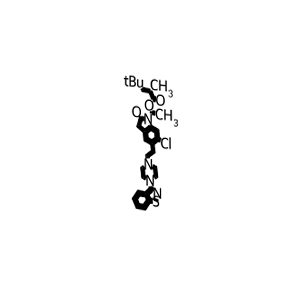 CC(CC(C)(C)C)C(=O)OC(C)N1C(=O)Cc2cc(CCN3CCN(c4nsc5ccccc45)CC3)c(Cl)cc21